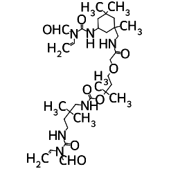 C=CN(C=O)C(=O)NCCC(C)(C)CNC(=O)OC(C)(C)CCOCC(=O)NCC1(C)CC(NC(=O)N(C=C)C=O)CC(C)(C)C1